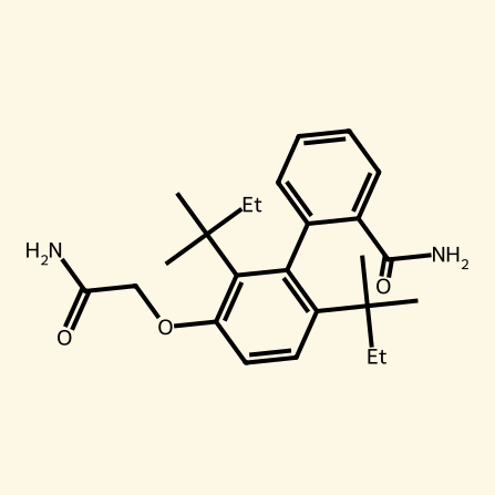 CCC(C)(C)c1ccc(OCC(N)=O)c(C(C)(C)CC)c1-c1ccccc1C(N)=O